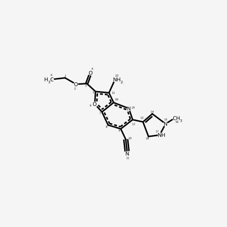 CCOC(=O)c1oc2cc(C#N)c(C3=CN(C)NC3)nc2c1N